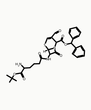 CC(C)(C)OC(=O)C(N)CCCC(=O)NC1C(=O)N2C(C(=O)OC(c3ccccc3)c3ccccc3)C(C=O)=CS[C@@H]12